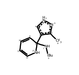 CC(C)(C)NC1(c2c[nH]nc2C(F)(F)F)C=CC=CN1